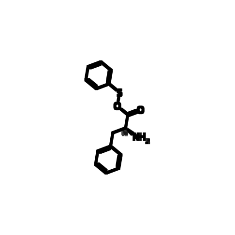 N[C@@H](Cc1ccccc1)C(=O)OSc1ccccc1